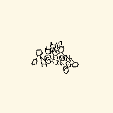 O=C(Nc1ccccc1-c1ccccc1)OC1CCN(Cc2ccccc2Oc2ccccc2CNC[C@H](O)c2ccc(O)c3[nH]c(=O)ccc23)CC1